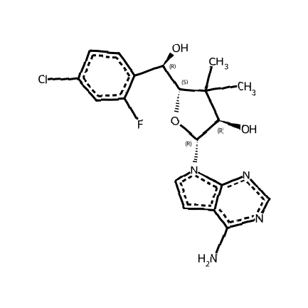 CC1(C)[C@@H]([C@H](O)c2ccc(Cl)cc2F)O[C@@H](n2ccc3c(N)ncnc32)[C@@H]1O